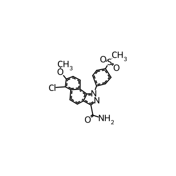 COc1ccc2c(ccc3c(C(N)=O)nn(-c4ccc(S(C)(=O)=O)cc4)c32)c1Cl